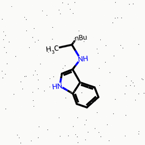 [CH2]CCCC(C)Nc1c[nH]c2ccccc12